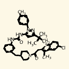 Cc1ccc(-n2nc(C(C)(C)C)cc2NC(=O)Nc2cccc(CC3CCN(C(=O)Cc4sc5ccc(Cl)cc5c4C)CC3)c2)cc1